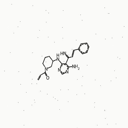 C=CC(=O)N1CCCC(Nc2ncnc(N)c2C(=N)/C=C/c2ccccc2)C1